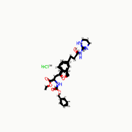 CCOC(=O)C(Cc1occ2cc(CCC(=O)NC3=NCCCN3)ccc12)NC(=O)OCc1ccccc1.Cl